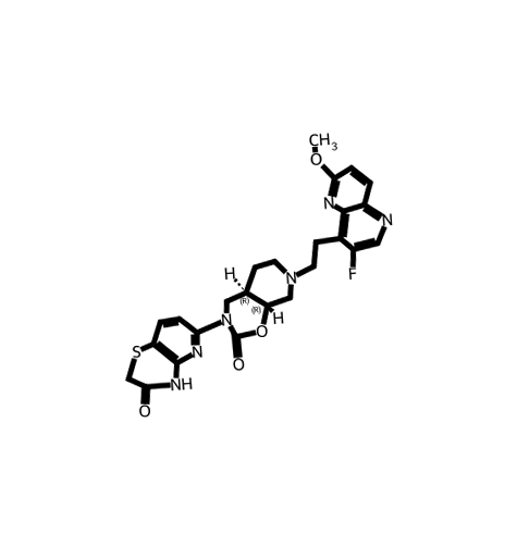 COc1ccc2ncc(F)c(CCN3CC[C@@H]4CN(c5ccc6c(n5)NC(=O)CS6)C(=O)O[C@H]4C3)c2n1